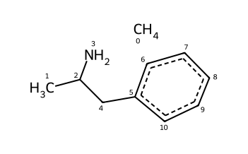 C.CC(N)Cc1ccccc1